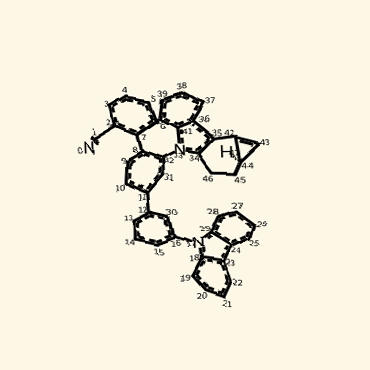 N#Cc1ccccc1-c1ccc(-c2cccc(-n3c4ccccc4c4ccccc43)c2)cc1-n1c2c(c3ccccc31)C1=C[C@H]1CC2